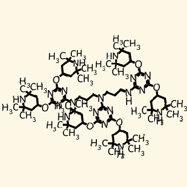 CC1(C)CC(Oc2nc(NCCCN(CCCNc3nc(OC4CC(C)(C)NC(C)(C)C4)nc(OC4CC(C)(C)NC(C)(C)C4)n3)c3nc(OC4CC(C)(C)NC(C)(C)C4)nc(OC4CC(C)(C)NC(C)(C)C4)n3)nc(OC3CC(C)(C)NC(C)(C)C3)n2)CC(C)(C)N1